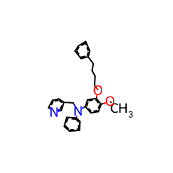 COc1ccc(N(Cc2cccnc2)c2ccccc2)cc1OCCCCc1ccccc1